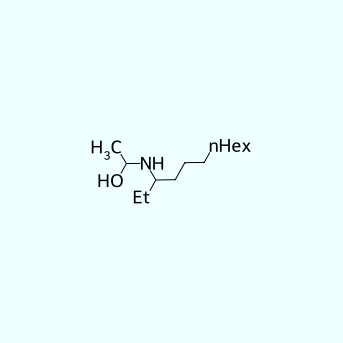 CCCCCCCCCC(CC)NC(C)O